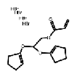 Br.Br.Br.Br.C=CC(=O)OCC(OC1=CCCC1)OC1=CCCC1